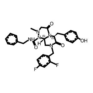 CN1CC(=O)N2[C@@H](Cc3ccc(O)cc3)C(=O)N(Cc3ccc(F)cc3F)C[C@@H]2N1C(=O)NCc1ccccc1